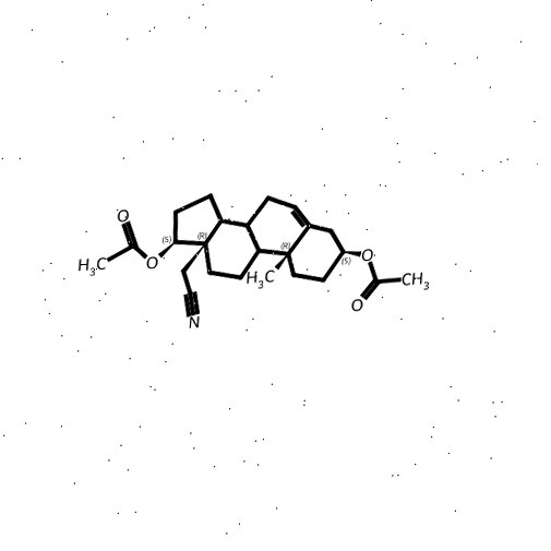 CC(=O)O[C@H]1CC[C@@]2(C)C(=CCC3C4CC[C@H](OC(C)=O)[C@@]4(CC#N)CCC32)C1